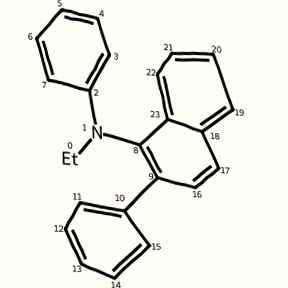 CCN(c1ccccc1)c1c(-c2ccccc2)ccc2ccccc12